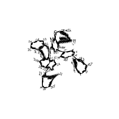 c1ccc(-c2ccc(-c3nc(-n4c5ccccc5c5ccc6c(ccn6-c6ccccc6)c54)nc4sccc34)cc2)cc1